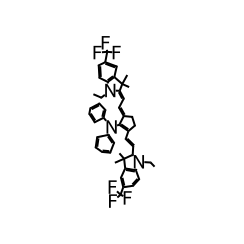 CCN1C(=CC=C2CCC(C=CC3N(CC)c4ccc(C(F)(F)F)cc4C3(C)C)=C2N(c2ccccc2)c2ccccc2)C(C)(C)c2cc(C(F)(F)F)ccc21